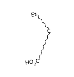 CC/C=C/C/C=C/CC=C=C/C=C/C/C=C/CCCCCC(=O)O